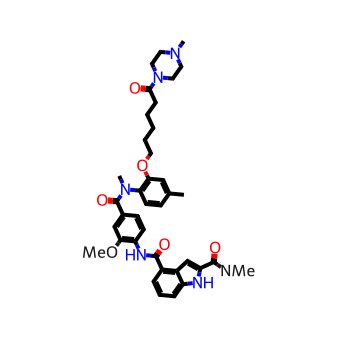 CNC(=O)c1cc2c(C(=O)Nc3ccc(C(=O)N(C)c4ccc(C)cc4OCCCCCC(=O)N4CCN(C)CC4)cc3OC)cccc2[nH]1